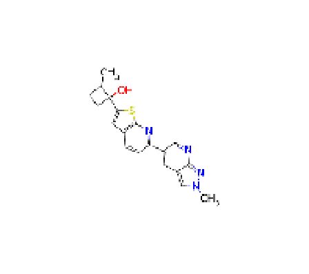 C[C@@H]1CC[C@@]1(O)c1cc2ccc(-c3cnc4nn(C)cc4c3)nc2s1